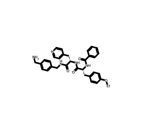 CCOc1ccc(C[C@@H](NC(=O)c2ccccc2)C(=O)N[C@@H](Cc2ccncc2)C(=O)NCc2ccc(CN)cc2)cc1